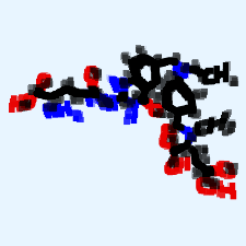 CCN(Cc1ccc2nc(NC(=O)CC[C@H](N)C(=O)O)[nH]c(=O)c2c1)c1ccc(C(=O)N(C)[C@@H](CCC(=O)O)C(=O)O)cc1